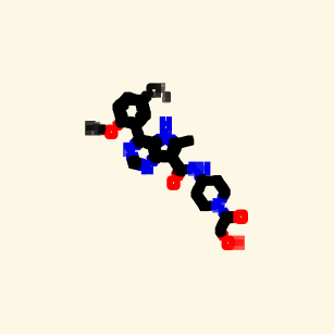 CCOc1ccc(C(F)(F)F)cc1-c1ncnc2c(C(=O)NC3CCN(C(=O)CO)CC3)c(C)[nH]c12